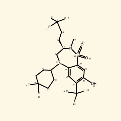 CN1[C@H](CCC(C)(F)F)CN(C2CCC(F)(F)CC2)c2cc(C(F)(F)F)c(O)cc2S1(=O)=O